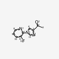 CC(=O)c1cn(-c2ncccc2F)cn1